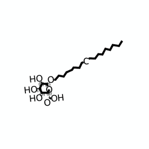 CCCCCCCCCCCCCCCCCCO[C@@H]1O[C@H](C(=O)O)[C@@H](O)[C@H](O)[C@H]1O